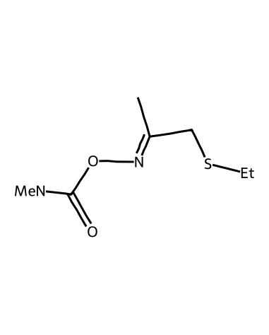 CCSCC(C)=NOC(=O)NC